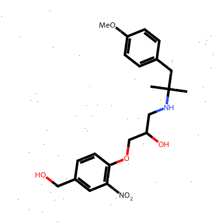 COc1ccc(CC(C)(C)NCC(O)COc2ccc(CO)cc2[N+](=O)[O-])cc1